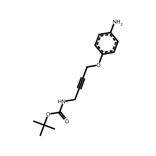 CC(C)(C)OC(=O)NCC#CCOc1ccc(N)cc1